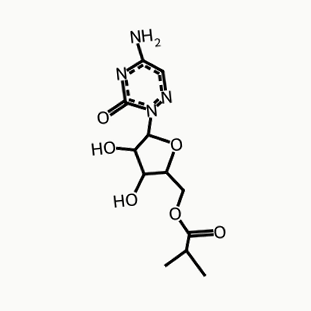 CC(C)C(=O)OCC1OC(n2ncc(N)nc2=O)C(O)C1O